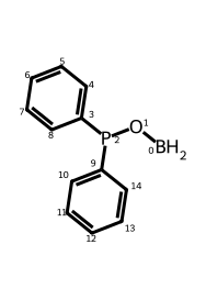 BOP(c1ccccc1)c1ccccc1